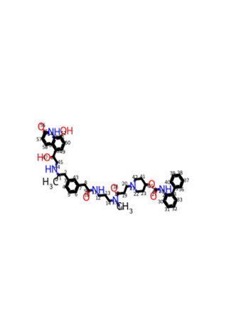 C[C@H](Cc1cccc(CC(=O)NCCCN(C)C(=O)CCN2CCC(OC(=O)Nc3ccccc3-c3ccccc3)CC2)c1)NC[C@@H](O)c1ccc(O)c2[nH]c(=O)ccc12